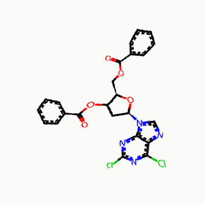 O=C(OC[C@H]1O[C@@H](n2cnc3c(Cl)nc(Cl)nc32)CC1OC(=O)c1ccccc1)c1ccccc1